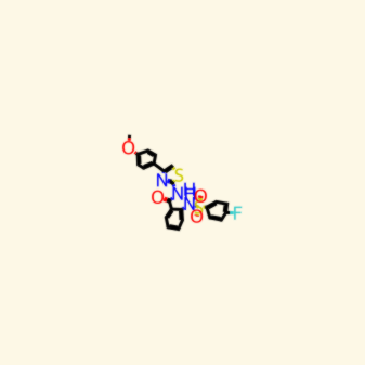 COc1ccc(-c2csc(NC(=O)c3ccccc3NS(=O)(=O)c3ccc(F)cc3)n2)cc1